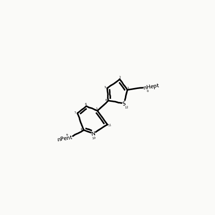 CCCCCCCc1ccc(-c2ccc(CCCCC)nc2)s1